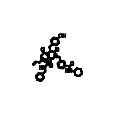 C=CCN1CC(=O)N2C(Cc3ccc(O)cc3)C(=O)N(Cc3cccc(C(=O)NC4CCCCC4)c3)C[C@@H]2N1C(=O)NCc1ccccc1